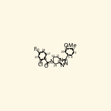 COc1cccc(-c2nnc3n2CCN(C(=O)c2ccc(F)cc2Cl)C3)c1